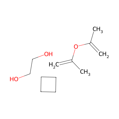 C1CCC1.C=C(C)OC(=C)C.OCCO